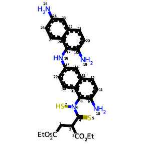 CCOC(=O)CC(C(=O)OCC)C(=S)N(S)c1c(N)ccc2cc(Nc3c(N)ccc4cc(N)ccc34)ccc12